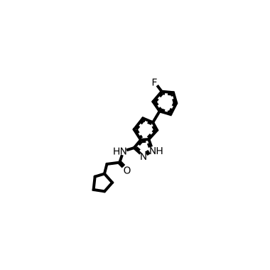 O=C(CC1CCCC1)Nc1n[nH]c2cc(-c3cccc(F)c3)ccc12